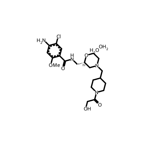 COc1cc(N)c(Cl)cc1C(=O)NC[C@H]1CN(CC2CCN(C(=O)CO)CC2)CCO1.O.O